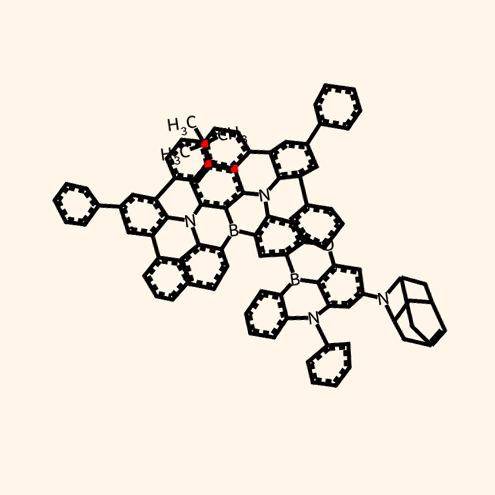 CC(C)(C)c1cc2c3c(c1)N(c1c(-c4ccccc4)cc(-c4ccccc4)cc1-c1ccccc1)c1cc4c(cc1B3c1ccccc1N2c1c(-c2ccccc2)cc(-c2ccccc2)cc1-c1ccccc1)B1c2ccccc2N(c2ccccc2)c2cc(N3C5CC6=CC(C5)CC3C6)cc(c21)O4